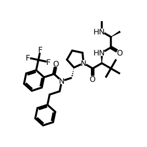 CN[C@@H](C)C(=O)N[C@H](C(=O)N1CCC[C@H]1CN(CCc1ccccc1)C(=O)c1ccccc1C(F)(F)F)C(C)(C)C